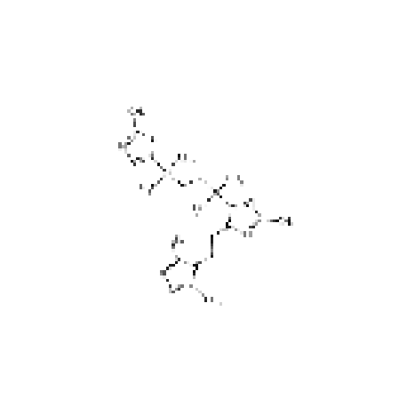 Cc1nc(C(C)(C)CCC(C)(C)c2nnc(C)o2)n(CCn2c(C)nnc2C(C)(C)C)n1